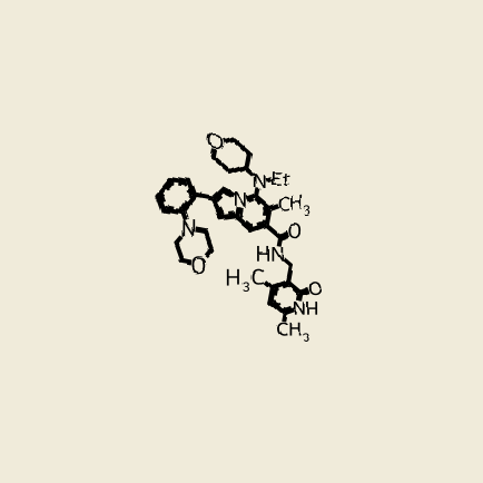 CCN(c1c(C)c(C(=O)NCc2c(C)cc(C)[nH]c2=O)cc2cc(-c3ccccc3N3CCOCC3)cn12)C1CCOCC1